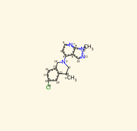 C[C@H]1CN(c2ccnc3c2cnn3C)Cc2ccc(Cl)cc21